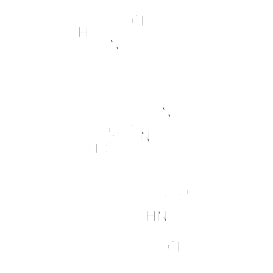 CCNC(=O)c1ccc(C)c(-n2cnc3ccc(CN(C)CC)cc3c2=O)c1